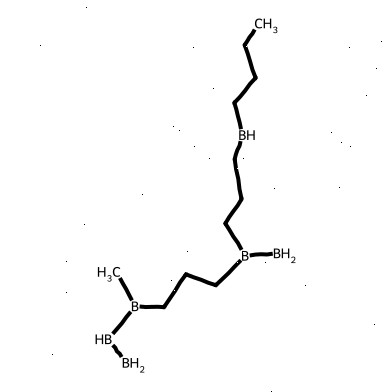 BBB(C)CCCB(B)CCCBCCCC